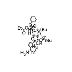 CCC(=O)ON[P@](=O)(OC[C@H]1O[C@@](C#N)(c2ccc3c(N)ncnn23)[C@H](O[Si](C)(C)C(C)(C)C)[C@@H]1O[Si](C)(C)C(C)(C)C)Oc1ccccc1